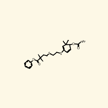 CCCC(=O)OC1C=CC(SCCSCCC(C)(C)C(=O)Oc2ccccc2)=CC1(C)C